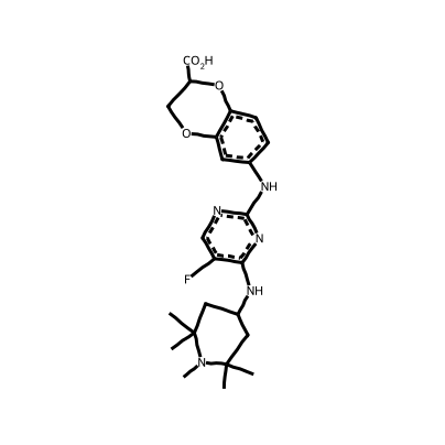 CN1C(C)(C)CC(Nc2nc(Nc3ccc4c(c3)OCC(C(=O)O)O4)ncc2F)CC1(C)C